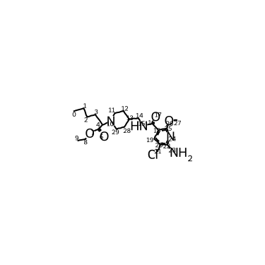 CCCCC(C(=O)OCC)N1CCC(CNC(=O)c2cc(Cl)c(N)nc2OC)CC1